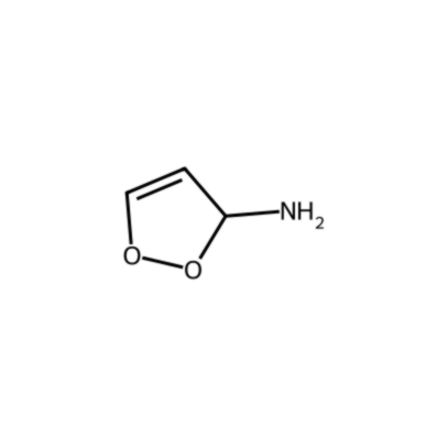 NC1C=COO1